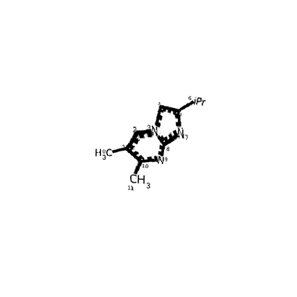 Cc1cn2cc(C(C)C)nc2nc1C